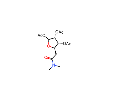 CC(=O)OC1O[C@H](CC(=O)N(C)C)[C@@H](OC(C)=O)[C@H]1OC(C)=O